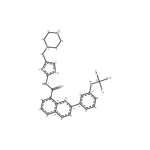 O=C(Nc1nc(CN2CCOCC2)cs1)c1cccc2ccc(-c3cccc(OC(F)(F)F)c3)nc12